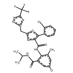 Cc1cc(Cl)cc(C(=O)NC(C)C)c1NC(=O)c1nc(Cn2nnc(C(F)(F)F)n2)oc1-c1ccccc1Cl